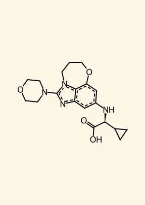 O=C(O)[C@@H](Nc1cc2c3c(c1)nc(N1CCOCC1)n3CCCO2)C1CC1